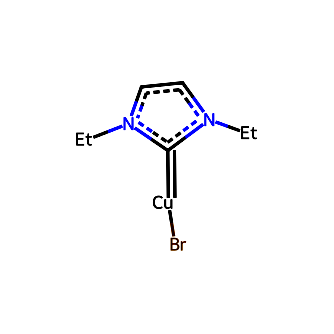 CCn1ccn(CC)[c]1=[Cu][Br]